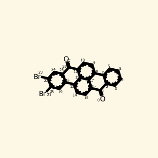 O=C1c2ccccc2-c2ccc3c4c(ccc1c24)-c1cc(Br)c(Br)cc1C3=O